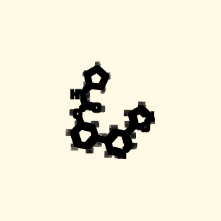 O=C(NC1CCCC1)Oc1cccc(-c2cncc(-c3ccno3)c2)c1